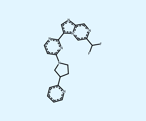 FC(F)c1cn2c(-c3nccc(N4CCC(c5ccccn5)C4)n3)cnc2cn1